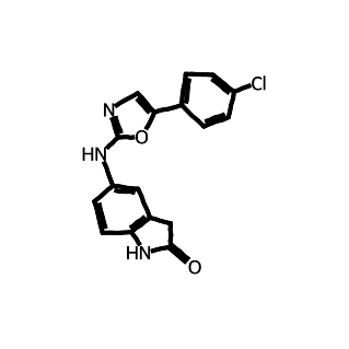 O=C1Cc2cc(Nc3ncc(-c4ccc(Cl)cc4)o3)ccc2N1